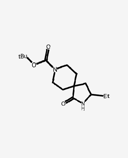 CCC1CC2(CCN(C(=O)OC(C)(C)C)CC2)C(=O)N1